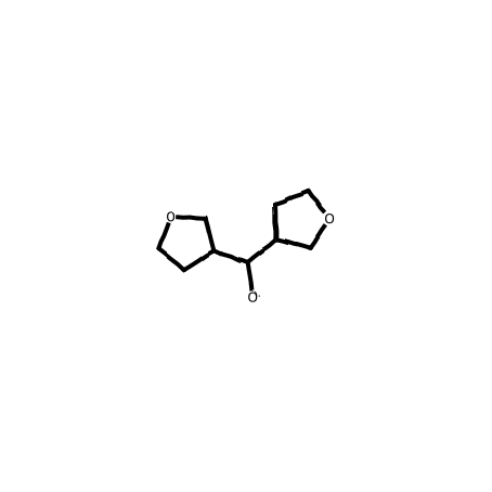 [O]C(C1CCOC1)C1CCOC1